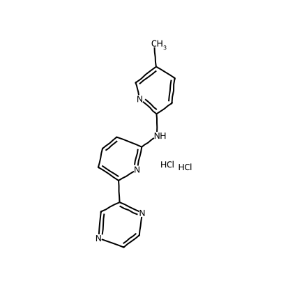 Cc1ccc(Nc2cccc(-c3cnccn3)n2)nc1.Cl.Cl